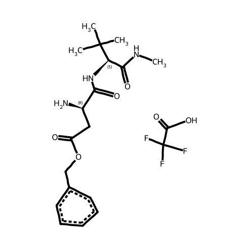 CNC(=O)[C@@H](NC(=O)[C@H](N)CC(=O)OCc1ccccc1)C(C)(C)C.O=C(O)C(F)(F)F